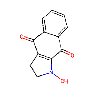 O=C1C2=C(C(=O)c3ccccc31)N(O)CC2